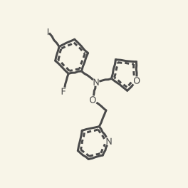 Fc1cc(I)ccc1N(OCc1ccccn1)c1ccoc1